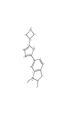 CC1Cc2ccc(-c3nnc(C4COC4)o3)cc2N1C